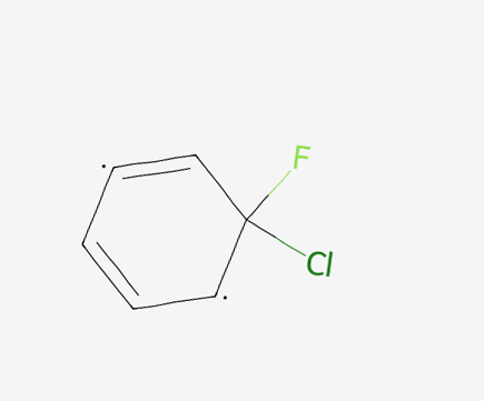 FC1(Cl)[CH]C=C[C]=C1